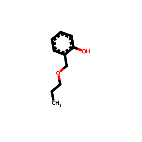 CCCOCc1ccccc1O